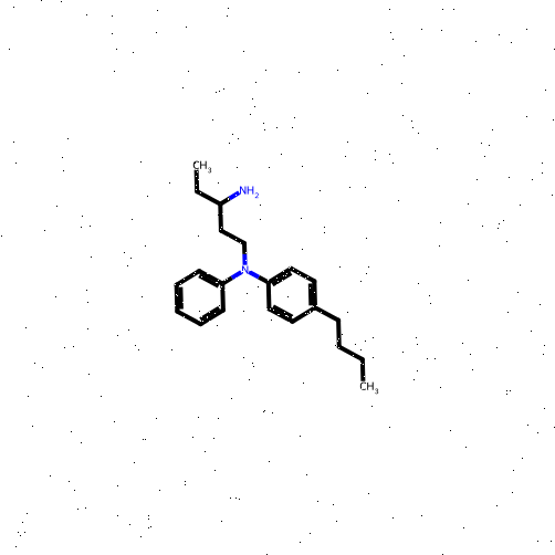 CCCCc1ccc(N(CCC(N)CC)c2ccccc2)cc1